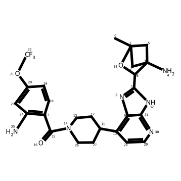 CC12CC(N)(C1)C(c1nc3c(C4CCN(C(=O)c5ccc(OC(F)(F)F)cc5N)CC4)ccnc3[nH]1)O2